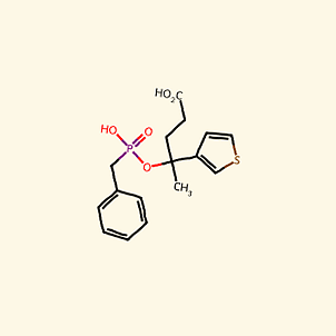 CC(CCC(=O)O)(OP(=O)(O)Cc1ccccc1)c1ccsc1